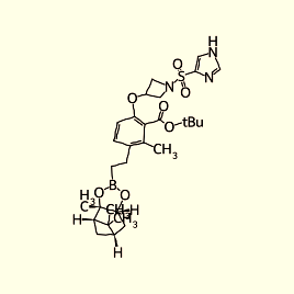 Cc1c(CCB2O[C@@H]3C[C@@H]4C[C@@H](C4(C)C)[C@]3(C)O2)ccc(OC2CN(S(=O)(=O)c3c[nH]cn3)C2)c1C(=O)OC(C)(C)C